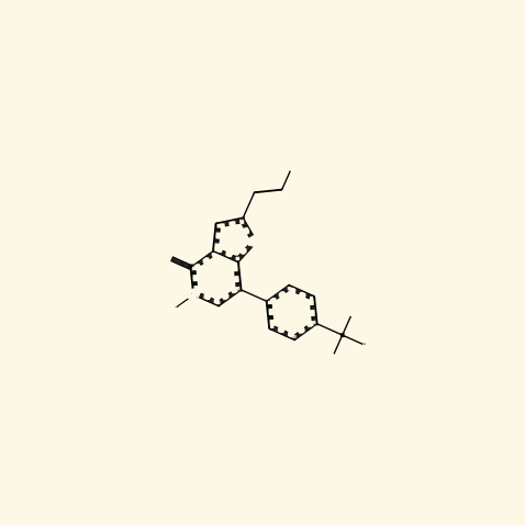 CCCc1cc2c(=O)n(C)cc(-c3ccc(C(F)(F)F)cc3)c2s1